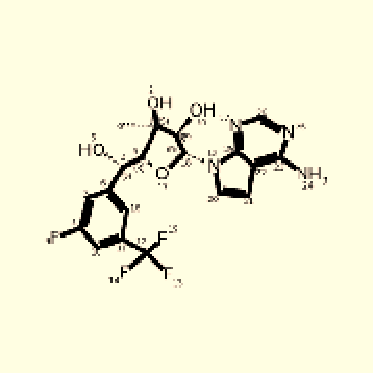 C[C@@]1(O)[C@@H]([C@@H](O)c2cc(F)cc(C(F)(F)F)c2)O[C@@H](n2ccc3c(N)ncnc32)[C@@H]1O